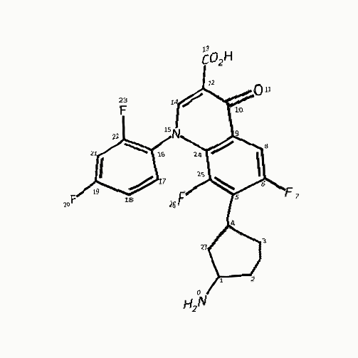 NC1CCC(c2c(F)cc3c(=O)c(C(=O)O)cn(-c4ccc(F)cc4F)c3c2F)C1